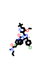 CCCN(C)C(=O)CC1CCN(C(=O)N2C(c3cnc(C(C)(C)C)cc3OCC)=N[C@@](C)(c3ccc(Cl)cc3)[C@@]2(C)c2ccc(Cl)cc2)CC1